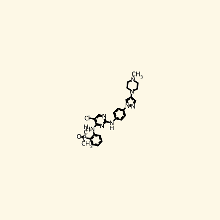 CN1CCN(c2cnn(-c3ccc(Nc4ncc(Cl)c(Nc5ccccc5P(C)(C)=O)n4)cc3)c2)CC1